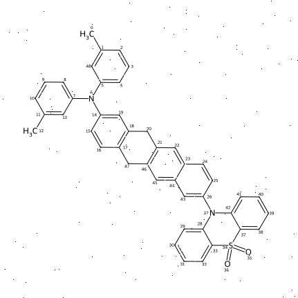 Cc1cccc(N(c2cccc(C)c2)c2ccc3c(c2)Cc2cc4ccc(N5c6ccccc6S(=O)(=O)c6ccccc65)cc4cc2C3)c1